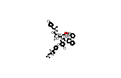 CC[C@H](Cc1ccc(Cl)cc1)N(C)C(=O)[C@H](COC)NC(=O)[C@H](CCCN)N(Cc1ccc(Cl)cc1Oc1ccc(-c2cnc(CN(C)C)n2C)cc1)C(=O)C[C@@H](Cc1ccccc1)C(=O)N(C)[C@H]1CCCC[C@@H]1NC=O